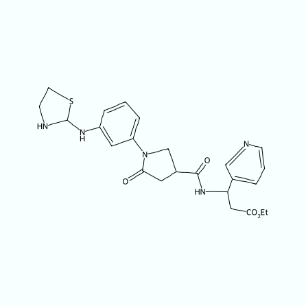 CCOC(=O)CC(NC(=O)C1CC(=O)N(c2cccc(NC3NCCS3)c2)C1)c1cccnc1